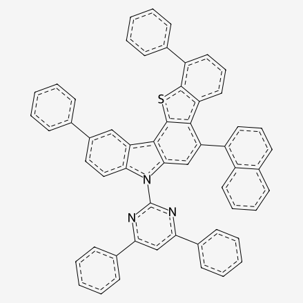 c1ccc(-c2ccc3c(c2)c2c4sc5c(-c6ccccc6)cccc5c4c(-c4cccc5ccccc45)cc2n3-c2nc(-c3ccccc3)cc(-c3ccccc3)n2)cc1